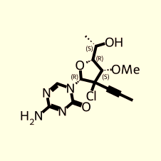 CC#CC1(Cl)[C@@H](OC)[C@@H]([C@H](C)O)O[C@H]1n1cnc(N)nc1=O